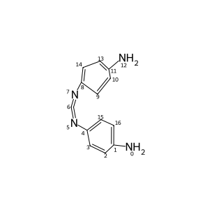 Nc1ccc(N=C=Nc2ccc(N)cc2)cc1